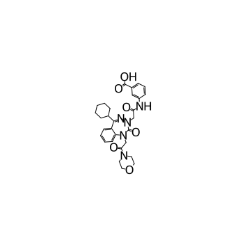 O=C(CN1N=C(C2CCCCC2)c2ccccc2N(CC(=O)N2CCOCC2)C1=O)Nc1cccc(C(=O)O)c1